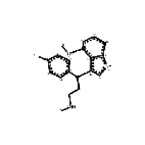 CNCCC(c1ccc(F)cc1)c1c[nH]c2cccc(OC)c12